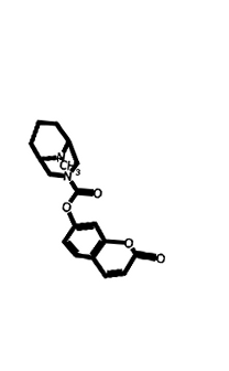 CN1C2CCCC1CN(C(=O)Oc1ccc3ccc(=O)oc3c1)C2